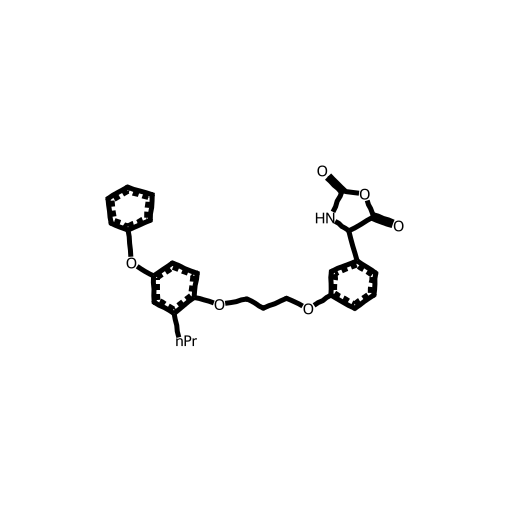 CCCc1cc(Oc2ccccc2)ccc1OCCCOc1cccc(C2NC(=O)OC2=O)c1